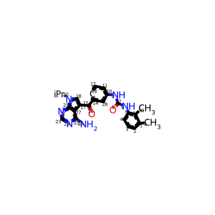 Cc1cccc(NC(=O)Nc2cccc(C(=O)c3cn(C(C)C)c4ncnc(N)c34)c2)c1C